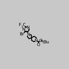 CC(C)(C)OC(=O)N1CCC2(CC1)CCN(c1cnc(C(F)(F)F)nc1Br)C2